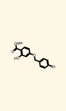 CCc1ccc(COc2ccc(C(=O)OC)c(O)c2)cc1